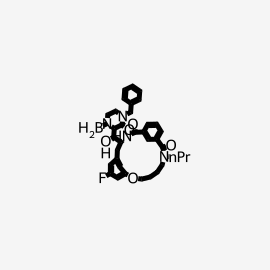 BN1CCN(Cc2ccccc2)C(=O)C1C(O)C1Cc2cc(F)cc(c2)OCCCCN(CCC)C(=O)c2cccc(c2)C(=O)N1